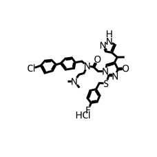 CC(c1cn[nH]c1)c1cn(CC(=O)N(CCN(C)C)Cc2ccc(-c3ccc(Cl)cc3)cc2)c(SCc2ccc(F)cc2)nc1=O.Cl